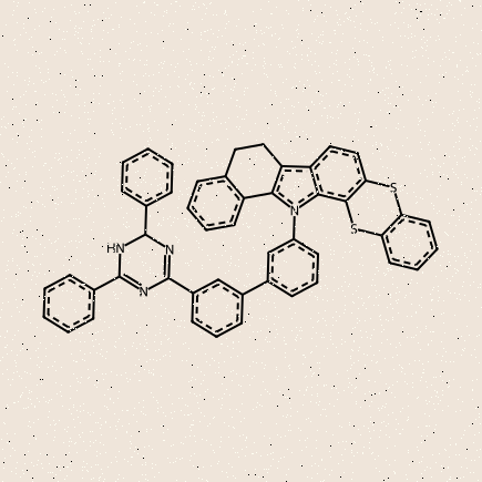 c1ccc(C2=NC(c3cccc(-c4cccc(-n5c6c(c7ccc8c(c75)Sc5ccccc5S8)CCc5ccccc5-6)c4)c3)=NC(c3ccccc3)N2)cc1